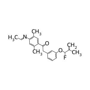 C=C(C)C(F)Oc1cccc(CC(=O)c2cc(C)c(/N=C/C)cc2C)c1